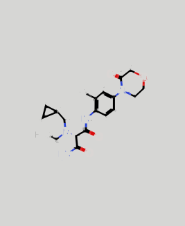 NC(=O)[C@@H](C(=O)Nc1ccc(N2CCOCC2=O)cc1C(F)(F)F)N(CC1CC1)CC(F)(F)F